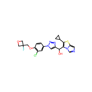 OC(c1cn(-c2ccc(OCC3(F)COC3)c(Cl)c2)nn1)c1c(C2CC2)sc2cncn12